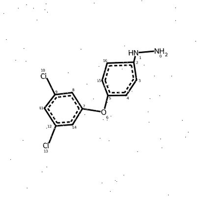 NNc1ccc(Oc2cc(Cl)cc(Cl)c2)cc1